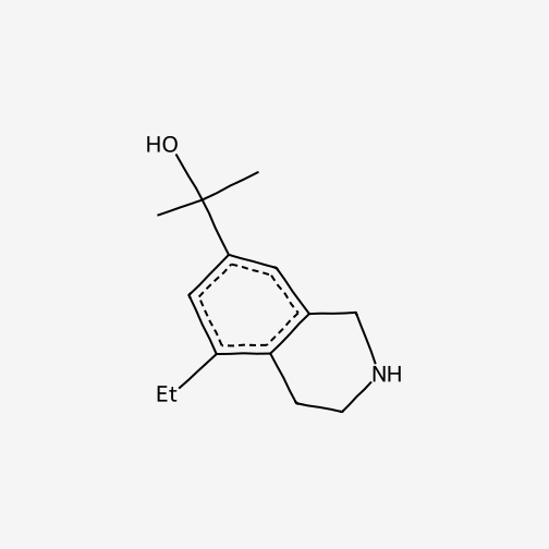 CCc1cc(C(C)(C)O)cc2c1CCNC2